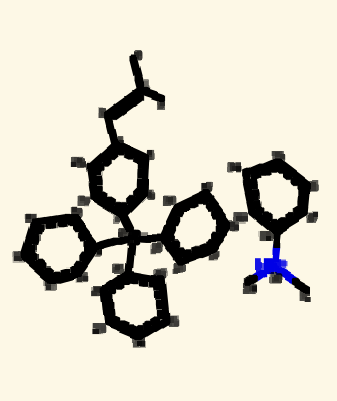 CC(C)=Cc1ccc([B-](c2ccccc2)(c2ccccc2)c2ccccc2)cc1.C[NH+](C)c1ccccc1